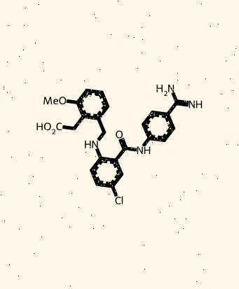 COc1cccc(CNc2ccc(Cl)cc2C(=O)Nc2ccc(C(=N)N)cc2)c1CC(=O)O